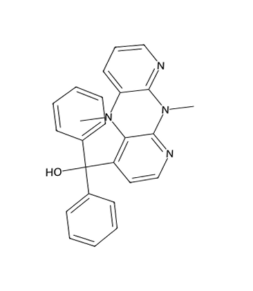 CN1c2ncccc2N(C)c2c(C(O)(c3ccccc3)c3ccccc3)ccnc21